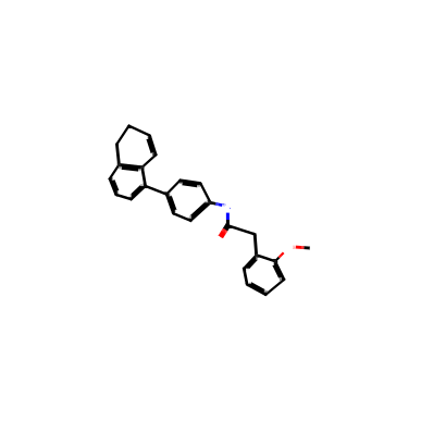 COc1ccccc1CC(=O)Nc1ccc(-c2cccc3c2C=CCC3)cc1